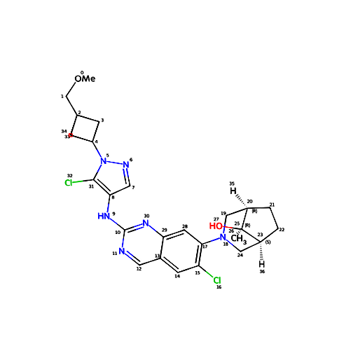 COCC12CC(n3ncc(Nc4ncc5cc(Cl)c(N6C[C@H]7CC[C@@H](C6)[C@@]7(C)O)cc5n4)c3Cl)(C1)C2